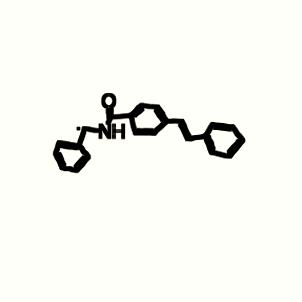 O=C(N[CH]c1ccccc1)c1ccc(C=Cc2ccccc2)cc1